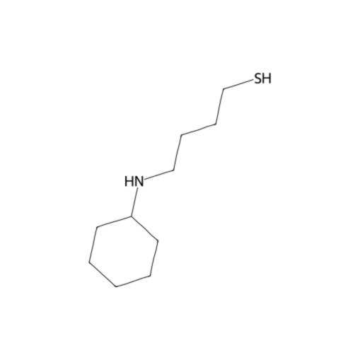 SCCCCNC1CCCCC1